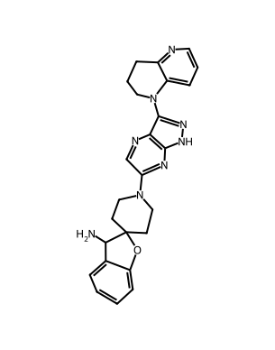 NC1c2ccccc2OC12CCN(c1cnc3c(N4CCCc5ncccc54)n[nH]c3n1)CC2